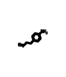 Nc1ccc(CCP=O)cc1